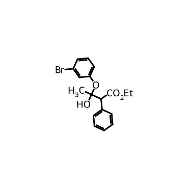 CCOC(=O)C(c1ccccc1)C(C)(O)Oc1cccc(Br)c1